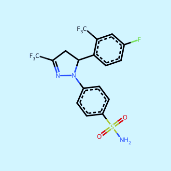 NS(=O)(=O)c1ccc(N2N=C(C(F)(F)F)CC2c2ccc(F)cc2C(F)(F)F)cc1